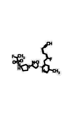 C#C/C=C\C=C(\F)Cc1cc(C)cnc1[C@@H]1CC(N2CC[C@H](NS(=O)(=O)C(C)F)C2)=NO1